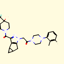 Cc1c(N2CCN(C(=O)Cn3nc(C(=O)N4CCC(O)(CF)CC4)c4c3CC3CC43)CC2)cccc1C(F)(F)F